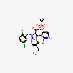 CCc1ccc2c(c1)c(-c1ccc[nH]c1=O)c(C(=O)NS(=O)(=O)C1CC1)n2Cc1cc(F)ccc1F